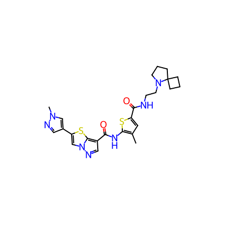 Cc1cc(C(=O)NCCN2CCCC23CCC3)sc1NC(=O)c1cnn2cc(-c3cnn(C)c3)sc12